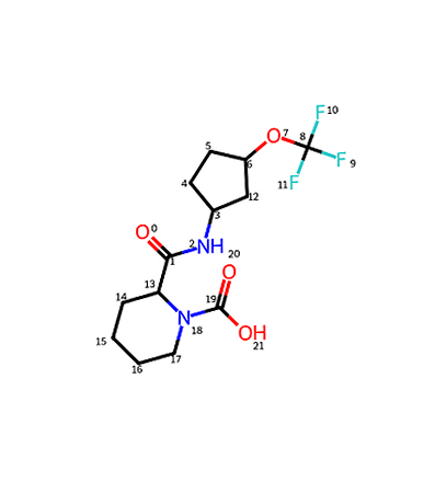 O=C(NC1CCC(OC(F)(F)F)C1)C1CCCCN1C(=O)O